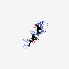 NCCC[C@](N)(C(=O)O)C(=O)c1ccc(NCC2CNc3nc(N)[nH]c(=O)c3C2)cc1